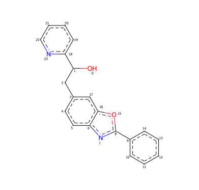 OC(Cc1ccc2nc(-c3ccccc3)oc2c1)c1ccccn1